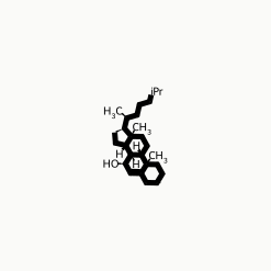 CC(C)CCC[C@@H](C)[C@H]1CC[C@H]2[C@@H]3[C@@H](O)C=C4C[CH]CC[C@]4(C)[C@H]3CC[C@]12C